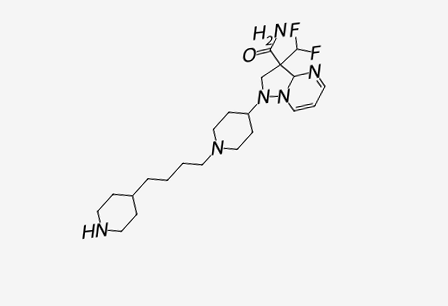 NC(=O)C1(C(F)F)CN(C2CCN(CCCCC3CCNCC3)CC2)N2C=CC=NC21